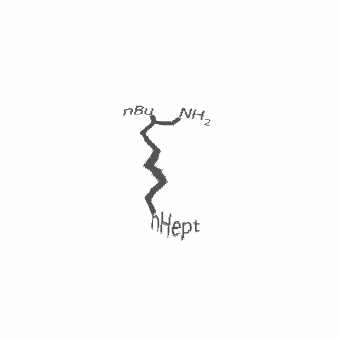 CCCCCCCCCCCCC(CN)CCCC